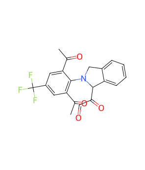 CC(=O)c1cc(C(F)(F)F)cc(C(C)=O)c1N1Cc2ccccc2C1C(=O)C=O